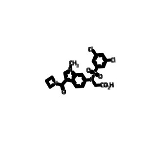 Cn1cc(C(=O)N2CCC2)c2ccc(N(CC(=O)O)S(=O)(=O)c3cc(Cl)cc(Cl)c3)cc21